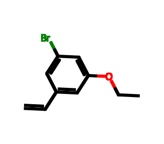 C=Cc1cc(Br)cc(OCC)c1